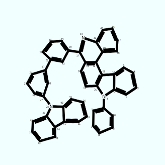 c1ccc(-n2c3ccccc3c3c4c(ccc32)c(-c2cccc(-c3cccc(-n5c6ccccc6c6ccccc65)c3)c2)nc2ccccc24)cc1